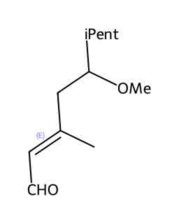 CCCC(C)C(C/C(C)=C/C=O)OC